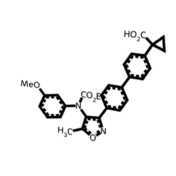 CCOC(=O)N(c1cccc(OC)c1)c1c(-c2ccc(-c3ccc(C4(C(=O)O)CC4)cc3)cc2)noc1C